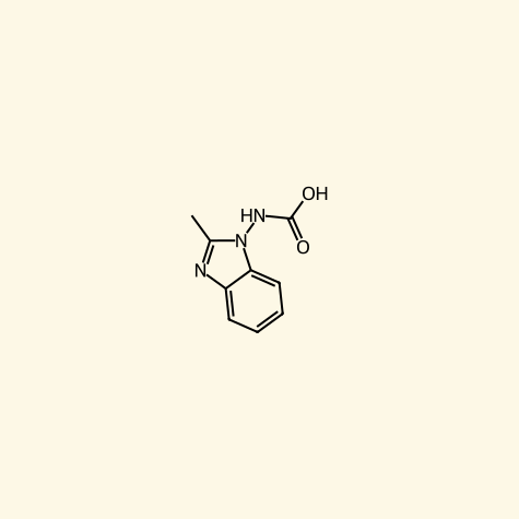 Cc1nc2ccccc2n1NC(=O)O